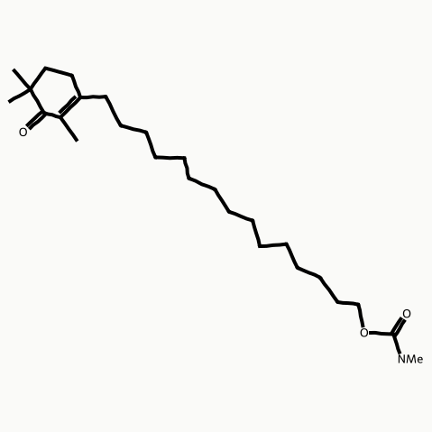 CNC(=O)OCCCCCCCCCCCCCCCC1=C(C)C(=O)C(C)(C)CC1